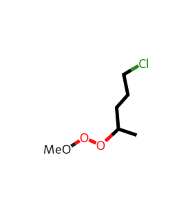 COOOC(C)CCCCl